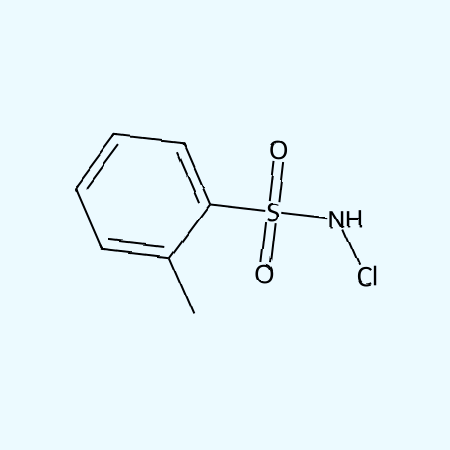 Cc1ccccc1S(=O)(=O)NCl